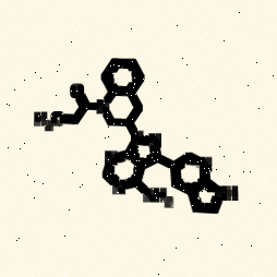 C=CC(=O)N1CC(n2nc(-c3cnc4[nH]ccc4c3)c3c(N)ncnc32)Cc2ccccc21